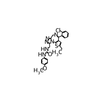 CCc1cc2c(s1)-n1c(nnc1CNC(=O)Nc1ccc(OC)cc1)CN=C2c1ccccc1Cl